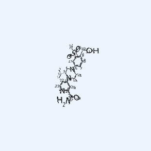 CC(C)[C@@H]1CN(c2ccc(CO)c(S(C)(=O)=O)c2)CCN1c1ccnc(C(N)=O)c1